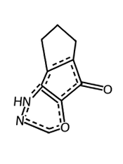 O=c1c2c(c3[nH]ncoc1=3)CCC2